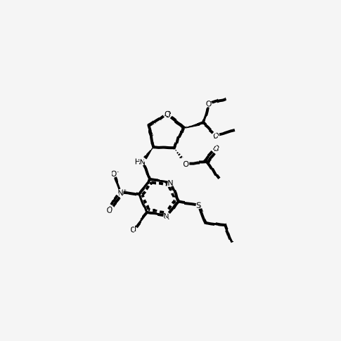 CCCSc1nc(Cl)c([N+](=O)[O-])c(N[C@H]2CO[C@@H](C(OC)OC)[C@@H]2OC(C)=O)n1